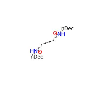 CCCCCCCCCCCCNC(=O)CCCC#CC#CCCCC(=O)NCCCCCCCCCCCC